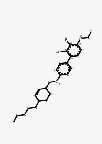 CCCCCC1C=CC(COc2ccc(-c3ccc(OCC)c(F)c3F)cc2)CC1